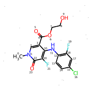 Cn1cc(C(=O)OCCO)c(Nc2ccc(Cl)cc2F)c(F)c1=O